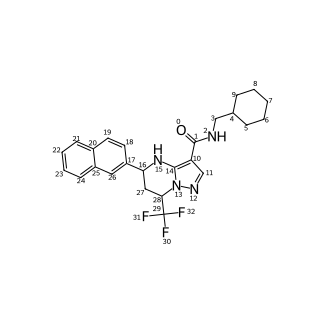 O=C(NCC1CCCCC1)c1cnn2c1NC(c1ccc3ccccc3c1)CC2C(F)(F)F